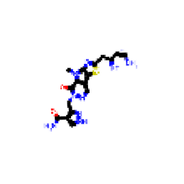 Cn1c2nc(CC(=N)/C=C\N)sc2c2cnn(Cc3n[nH]cc3C(N)=O)c(=O)c21